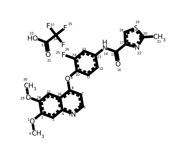 COc1cc2nccc(Oc3ccc(NC(=O)c4csc(C)n4)cc3F)c2cc1OC.O=C(O)C(F)(F)F